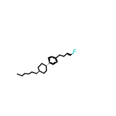 CCCCCC[C@H]1CC[C@H](c2ccc(CC/C=C/F)cc2)CC1